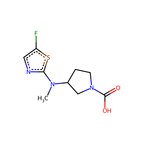 CN(c1ncc(F)s1)C1CCN(C(=O)O)C1